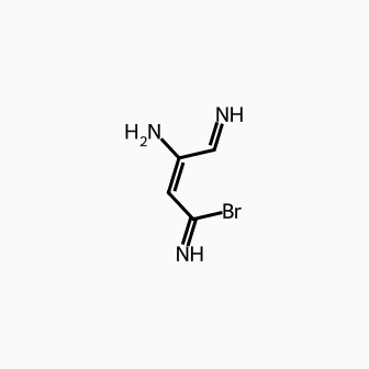 N=C/C(N)=C\C(=N)Br